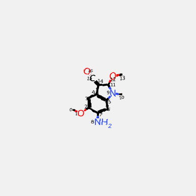 COc1cc2c(cc1N)N(C)C(OC)C2=C=O